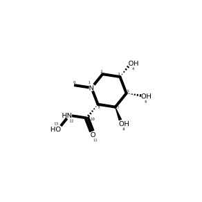 CN1C[C@H](O)[C@H](O)[C@@H](O)[C@@H]1C(=O)NO